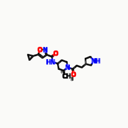 C[C@H]1CC(NC(=O)c2cc(C3CC3)on2)CCN1C(=O)CCC1CCNC1